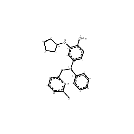 COc1ccc(N(Cc2cccc(C)n2)c2ccccc2)cc1OC1CCCC1